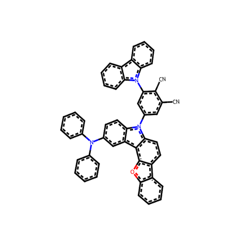 N#Cc1cc(-n2c3ccc(N(c4ccccc4)c4ccccc4)cc3c3c4oc5ccccc5c4ccc32)cc(-n2c3ccccc3c3ccccc32)c1C#N